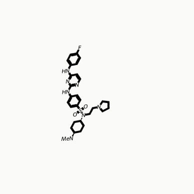 CN[C@H]1CC[C@H](N(CCN2CCCC2)S(=O)(=O)c2ccc(Nc3nccc(Nc4ccc(F)cc4)n3)cc2)CC1